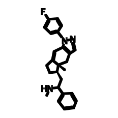 CNC(C[C@H]1CCC2=Cc3c(cnn3-c3ccc(F)cc3)C[C@@]21C)c1ccccc1